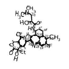 CC[C@@]1(O)C(=O)OCc2c1cc1n(c2=O)Cc2c-1nc1cc(F)c(C)c3c1c2[C@@H](NC(=O)C(O)CN(C)C)CC3